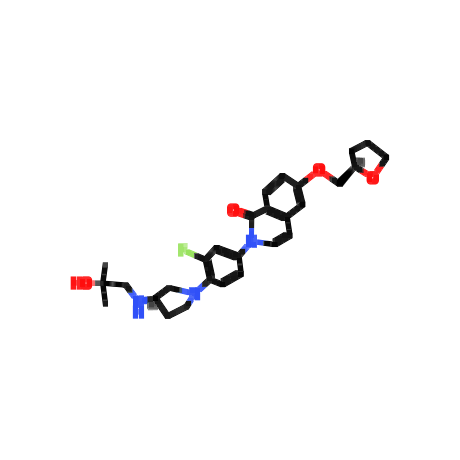 CC(C)(O)CN[C@@H]1CCN(c2ccc(-n3ccc4cc(OC[C@H]5CCCO5)ccc4c3=O)cc2F)C1